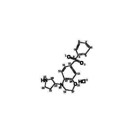 Cl.O=S(=O)(c1ccccc1)c1ccc2c(c1)OCCN2C1CCNC1